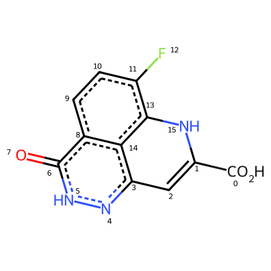 O=C(O)C1=Cc2n[nH]c(=O)c3ccc(F)c(c23)N1